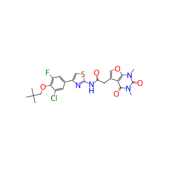 Cn1c(=O)c2c(CC(=O)Nc3nc(-c4cc(F)c(OCC(C)(C)C)c(Cl)c4)cs3)coc2n(C)c1=O